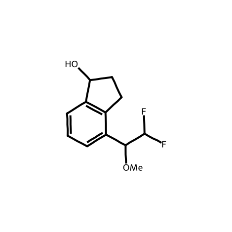 COC(c1cccc2c1CCC2O)C(F)F